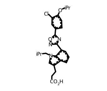 CC(C)Cn1cc(CCC(=O)O)c2cccc(-c3noc(-c4ccc(OC(C)C)c(Cl)c4)n3)c21